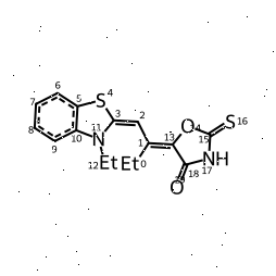 CCC(C=C1Sc2ccccc2N1CC)=C1OC(=S)NC1=O